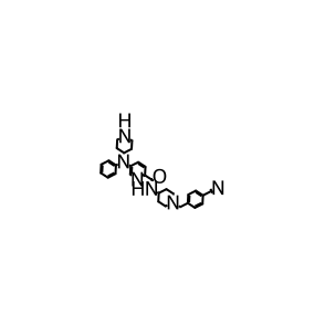 N#Cc1ccc(CN2CCC(NC(=O)c3ccc(N(c4ccccc4)C4CCNCC4)cn3)CC2)cc1